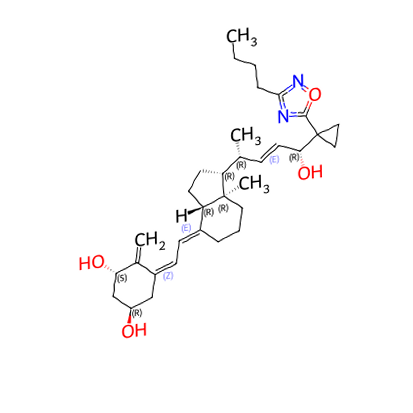 C=C1/C(=C\C=C2/CCC[C@]3(C)[C@@H]([C@H](C)/C=C/[C@@H](O)C4(c5nc(CCCC)no5)CC4)CC[C@@H]23)C[C@@H](O)C[C@@H]1O